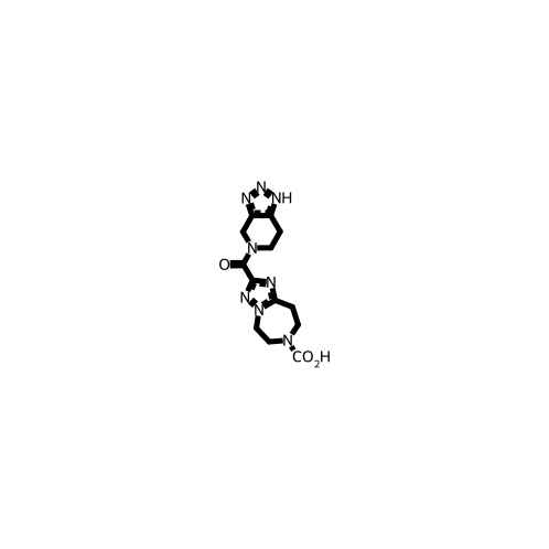 O=C(O)N1CCc2nc(C(=O)N3CCc4[nH]nnc4C3)nn2CC1